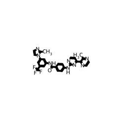 Cc1nccnc1-c1ccnc(Nc2ccc(C(=O)Nc3cc(-n4ccnc4C)cc(C(F)(F)F)c3)cc2)n1